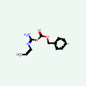 C/C=C\N=C(\N)SC(=O)OCc1ccccc1